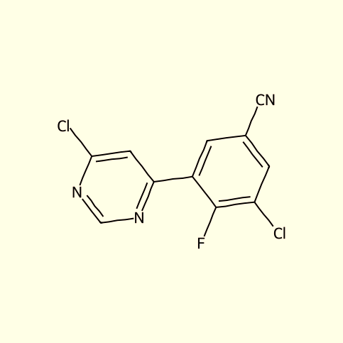 N#Cc1cc(Cl)c(F)c(-c2cc(Cl)ncn2)c1